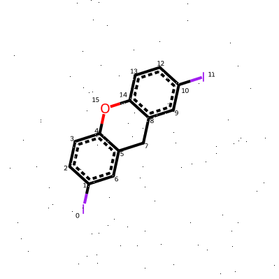 Ic1ccc2c(c1)Cc1cc(I)ccc1O2